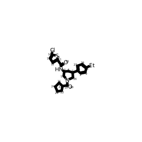 CCc1ccc(C2CC(NC(=O)c3ccc(Cl)s3)CN(C(=O)C3CCCC3)C2)cc1